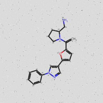 C=C(c1ccc(-c2cnn(-c3ccccc3)c2)o1)N1CCCC1CN